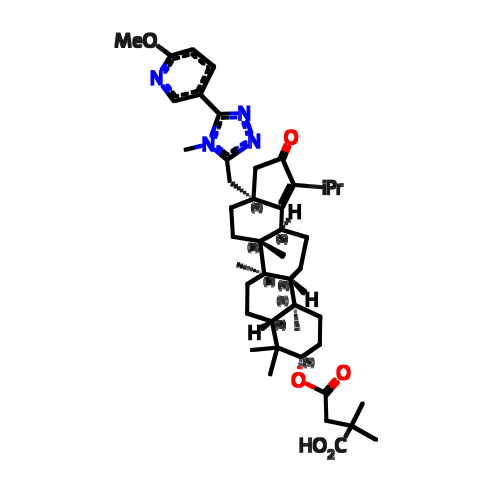 COc1ccc(-c2nnc(C[C@@]34CC[C@]5(C)[C@H](CC[C@@H]6[C@@]7(C)CC[C@H](OC(=O)CC(C)(C)C(=O)O)C(C)(C)[C@@H]7CC[C@]65C)C3=C(C(C)C)C(=O)C4)n2C)cn1